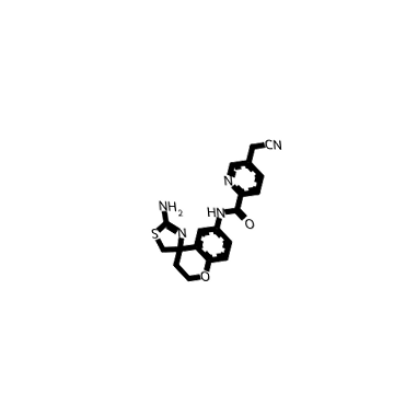 N#CCc1ccc(C(=O)Nc2ccc3c(c2)C2(CCO3)CSC(N)=N2)nc1